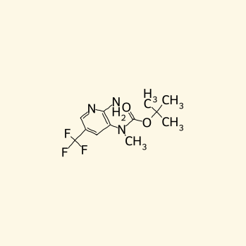 CN(C(=O)OC(C)(C)C)c1cc(C(F)(F)F)cnc1N